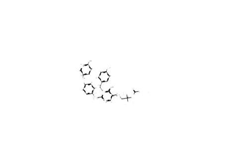 CC(=O)OC(C)(C)CNc1cnc(Nc2ccc(Oc3ccc(C)nc3)cc2)n(Cc2ccc(Cl)cc2)c1=O